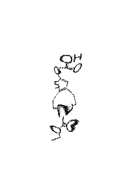 CCOC(=O)N1CCc2cc(OC(=O)O)sc2CC1